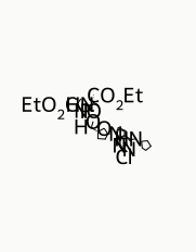 CCOC(=O)[C@H](C)NP(=O)(COC[C@@H]1CC[C@H](n2ccc3c(NC4CCCC4)nc(Cl)nc32)O1)N[C@@H](C)C(=O)OCC